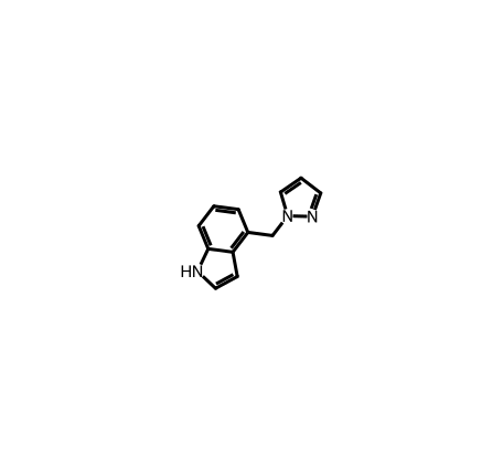 c1cc(Cn2cccn2)c2cc[nH]c2c1